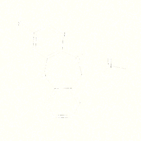 CNC[C@H]1Oc2ncc(F)cc2Oc2ccccc21